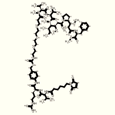 CC[C@H](C)[C@@H]([C@@H](CC(=O)N1CCC[C@H]1[C@H](OC)[C@@H](C)C(=S)N[C@@H](Cc1ccccc1)C(=O)OC)OC)N(C)C(=O)[C@@H](NC(=O)[C@H](C(C)C)N(C)C(=O)CCOCCOCCOCCNC(=O)OCc1ccc(NC(=O)[C@H](CCCNC(N)=O)NC(=O)[C@@H](NC(=O)CCCCCN2C(=O)C=CC2=O)C(C)C)cc1)C(C)C